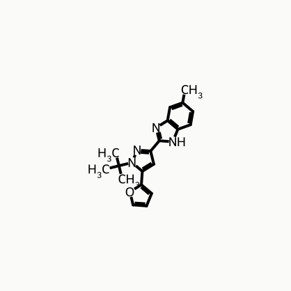 Cc1ccc2[nH]c(-c3cc(-c4ccco4)n(C(C)(C)C)n3)nc2c1